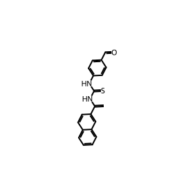 C=C(NC(=S)Nc1ccc(C=O)cc1)c1ccc2ccccc2c1